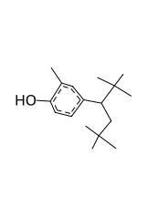 Cc1cc(C(CC(C)(C)C)C(C)(C)C)ccc1O